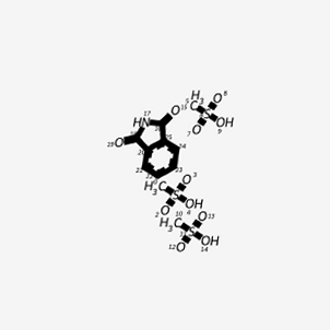 CS(=O)(=O)O.CS(=O)(=O)O.CS(=O)(=O)O.O=C1NC(=O)c2ccccc21